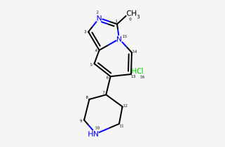 Cc1ncc2cc(C3CCNCC3)ccn12.Cl